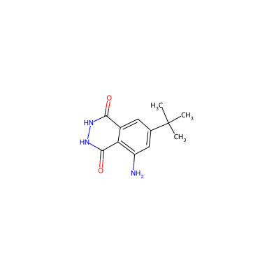 CC(C)(C)c1cc(N)c2c(=O)[nH][nH]c(=O)c2c1